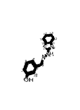 Oc1cccc(/C=N/Nc2nc3ccccc3s2)c1